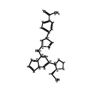 CC(=O)c1ccc(-n2cnc(Nc3nc(N4CCC[C@H]4CO)nn4cccc34)c2)cc1